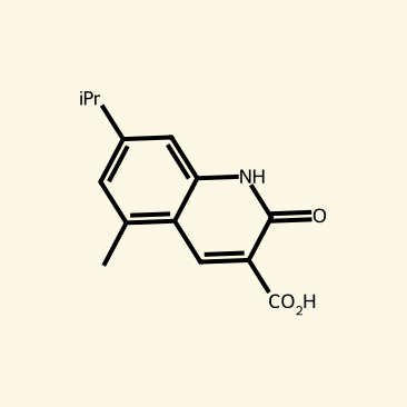 Cc1cc(C(C)C)cc2[nH]c(=O)c(C(=O)O)cc12